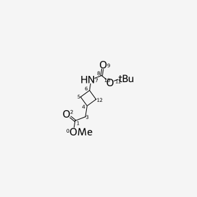 COC(=O)CC1CC(NC(=O)OC(C)(C)C)C1